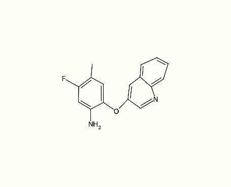 Cc1cc(Oc2cnc3ccccc3c2)c(N)cc1F